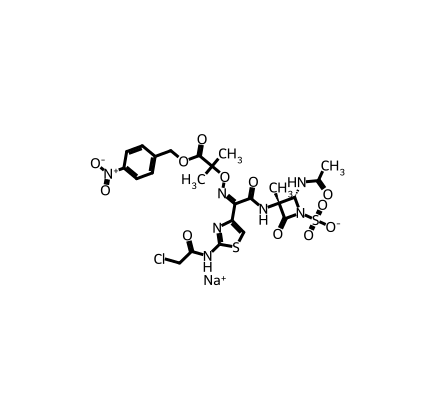 CC(=O)N[C@@H]1N(S(=O)(=O)[O-])C(=O)[C@]1(C)NC(=O)C(=NOC(C)(C)C(=O)OCc1ccc([N+](=O)[O-])cc1)c1csc(NC(=O)CCl)n1.[Na+]